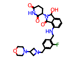 O=C1CC[C@@H](N2C(=O)c3c(NCc4ccc(CN5CC(N6CCOCC6)C5)cc4F)cccc3C2O)C(=O)N1